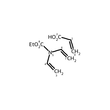 C=CC(=O)O.C=CN(C=C)C(=O)OCC